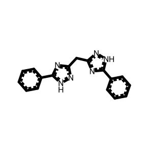 c1ccc(-c2nc(Cc3n[nH]c(-c4ccccc4)n3)n[nH]2)cc1